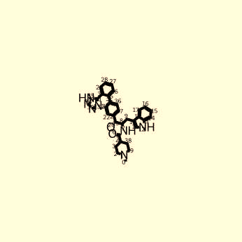 CN1CCC(C(=O)NC(Cc2c[nH]c3ccccc23)C(=O)c2ccc(-c3ccccc3-c3nnn[nH]3)cc2)CC1